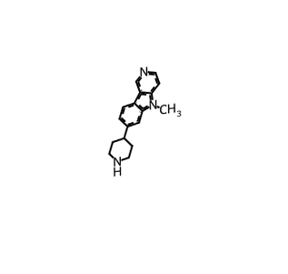 Cn1c2ccncc2c2ccc(C3CCNCC3)cc21